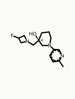 Cc1ccc(N2CCC[C@@](O)(CN3CC(F)C3)C2)cn1